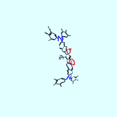 Cc1cc(N(c2cc(C)c(C)c(C)c2)c2ccc3cc4c(cc3c2)oc2cc3oc5cc6cc(N(c7cc(C)c(C)c(C)c7)c7cc(C)c(C)c(C)c7)ccc6cc5c3c(C(C)C)c24)cc(C)c1C